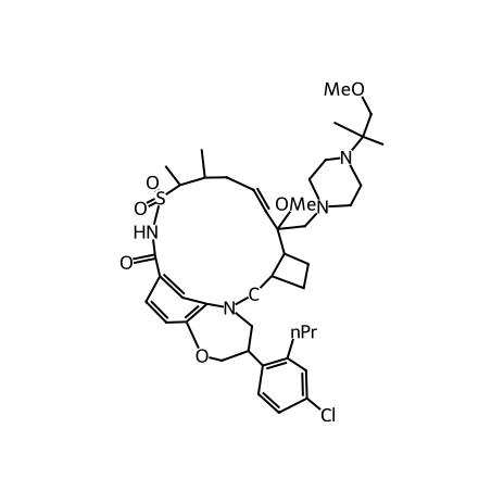 CCCc1cc(Cl)ccc1C1COc2ccc3cc2N(C1)CC1CCC1C(CN1CCN(C(C)(C)COC)CC1)(OC)/C=C/CC(C)C(C)S(=O)(=O)NC3=O